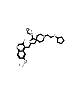 CCOC(=O)C1(CCCc2c(F)cnc3ccc(OC)cc23)CCN(CCSC2CCCC2)CC1